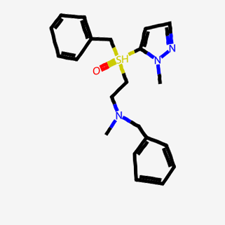 CN(CC[SH](=O)(Cc1ccccc1)c1ccnn1C)Cc1ccccc1